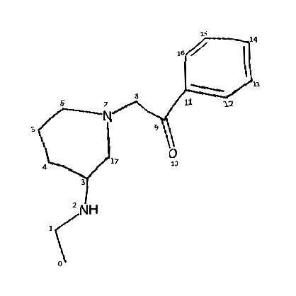 CCNC1CCCN(CC(=O)c2ccccc2)C1